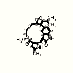 Cc1cc2c([nH]1)/C=C1\C(=O)Nc3ccc(cc31)-c1c(noc1C(C)C)COCCN(C)C2=O